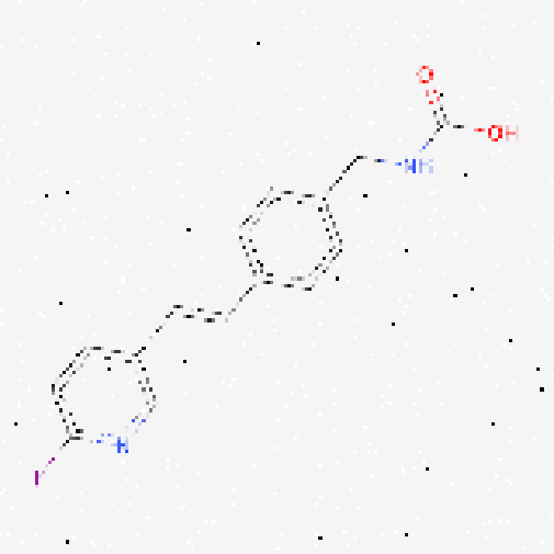 O=C(O)NCc1ccc(/C=C/c2ccc(I)nc2)cc1